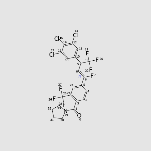 O=C(c1ccc(/C(F)=C/C(c2cc(Cl)c(Cl)c(Cl)c2)C(F)(F)F)cc1C(F)(F)F)N1CCCC1